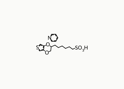 O=S(=O)(O)CCCCCCC1COc2cscc2O1.c1ccncc1